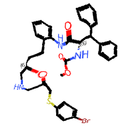 COC(=O)N[C@H](C(=O)Nc1ccccc1CC[C@@H]1CNCC(CSc2ccc(Br)cc2)O1)C(c1ccccc1)c1ccccc1